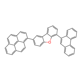 c1ccc2c(c1)cc(-c1cccc3c1oc1ccc(-c4ccc5ccc6cccc7ccc4c5c67)cc13)c1ccccc12